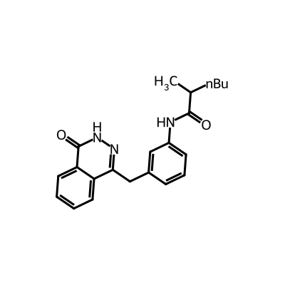 CCCCC(C)C(=O)Nc1cccc(Cc2n[nH]c(=O)c3ccccc23)c1